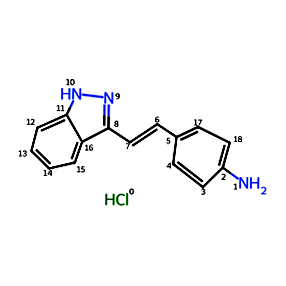 Cl.Nc1ccc(C=Cc2n[nH]c3ccccc23)cc1